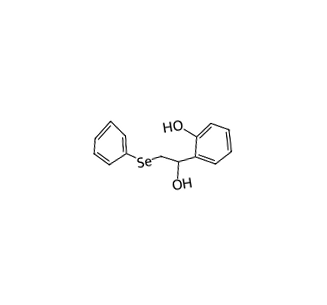 Oc1ccccc1C(O)C[Se]c1ccccc1